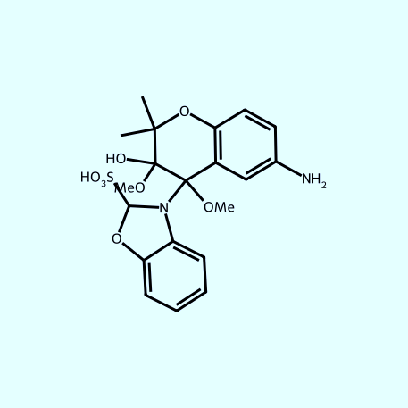 COC1(N2c3ccccc3OC2S(=O)(=O)O)c2cc(N)ccc2OC(C)(C)C1(O)OC